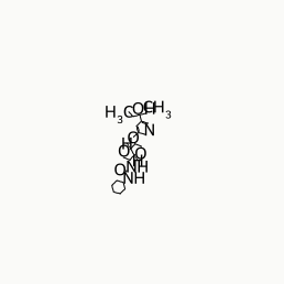 CCC(O)(CC)c1cncc(O[C@H]2CO[C@H]3[C@@H]2OC[C@@H]3NC(=O)NC2CCCCC2)c1